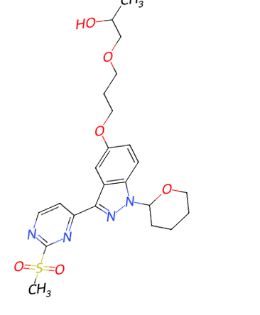 CC(O)COCCCOc1ccc2c(c1)c(-c1ccnc(S(C)(=O)=O)n1)nn2C1CCCCO1